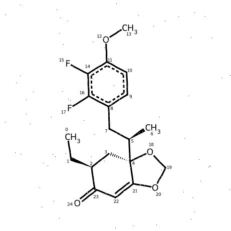 CC[C@H]1C[C@]2([C@H](C)Cc3ccc(OC)c(F)c3F)OCOC2=CC1=O